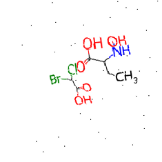 CCC(NO)C(=O)O.O=C(O)C(Cl)Br